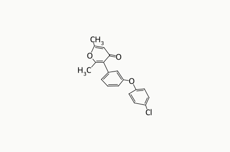 Cc1cc(=O)c(-c2cccc(Oc3ccc(Cl)cc3)c2)c(C)o1